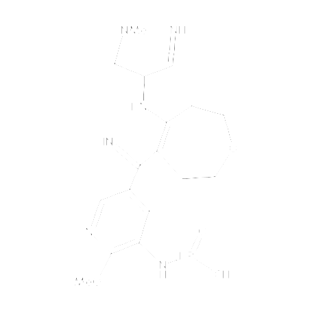 CNCC(C=N)NC1=C(C(=N)c2cnc(OC)c(N[PH](C)=O)c2)CCOCC1